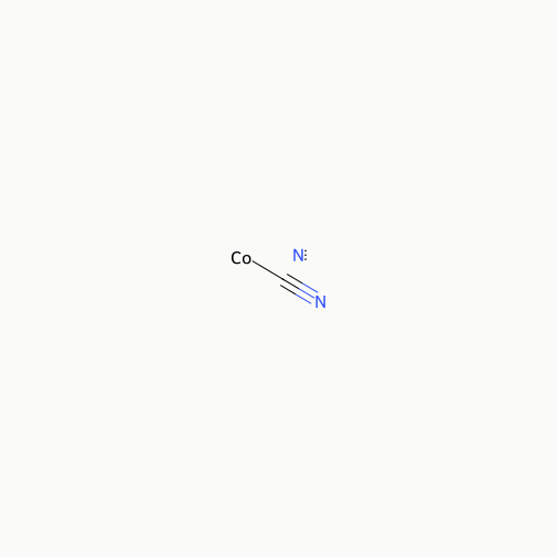 N#[C][Co].[N]